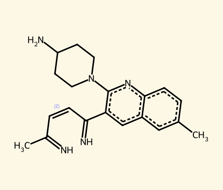 CC(=N)/C=C\C(=N)c1cc2cc(C)ccc2nc1N1CCC(N)CC1